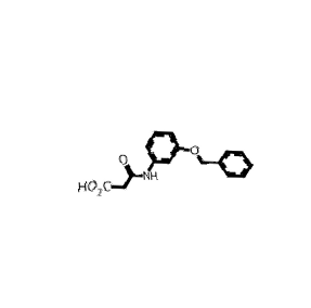 O=C(O)CC(=O)Nc1cccc(OCc2ccccc2)c1